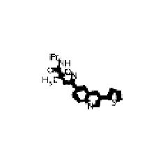 CC(C)NC(=O)C1(C)CC(c2ccc3ncc(-c4cccs4)cc3c2)=NO1